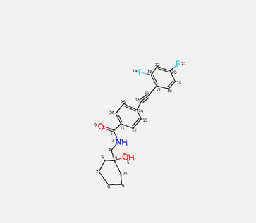 O=C(NCC1(O)CCCCC1)c1ccc(C#Cc2ccc(F)cc2F)cc1